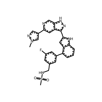 Cn1cc(-c2cc3c(-c4cc5c(-c6cc(F)cc(CNS(C)(=O)=O)c6)cccc5[nH]4)n[nH]c3cn2)cn1